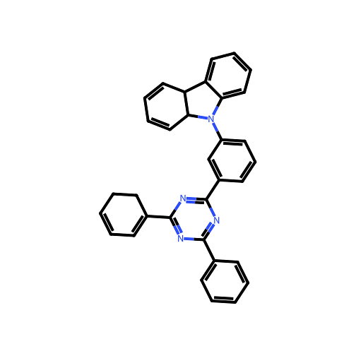 C1=CCCC(c2nc(-c3ccccc3)nc(-c3cccc(N4c5ccccc5C5C=CC=CC54)c3)n2)=C1